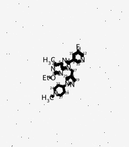 CCOc1nc(C)c2nc(-c3cncc(F)c3)n(Cc3cnn(C4CCN(C)CC4)c3)c2n1